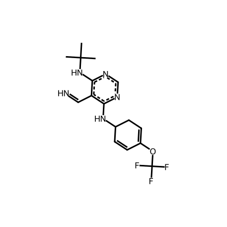 CC(C)(C)Nc1ncnc(NC2C=CC(OC(F)(F)F)=CC2)c1C=N